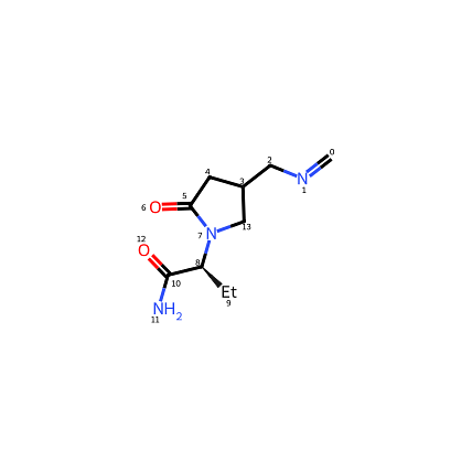 C=NCC1CC(=O)N([C@@H](CC)C(N)=O)C1